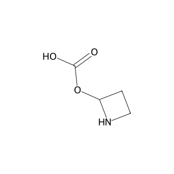 O=C(O)OC1CCN1